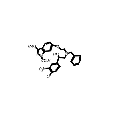 COc1nn(C(=O)O)c2cc(OCCN(Cc3ccccc3)CC(O)c3ccc(Cl)c([N+](=O)[O-])c3)ccc12